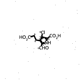 O=Cc1[nH]c(C(=O)O)c(Cl)c1CCC(=O)O